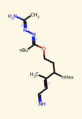 CCCCCCC(CCO/C(CCCC)=N/N=C(\C)N)/C(C)=C/C=N